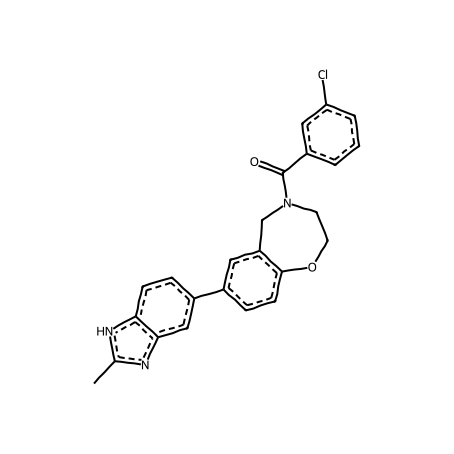 Cc1nc2cc(-c3ccc4c(c3)CN(C(=O)c3cccc(Cl)c3)CCO4)ccc2[nH]1